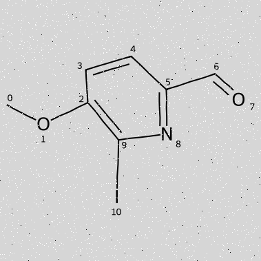 COc1ccc(C=O)nc1I